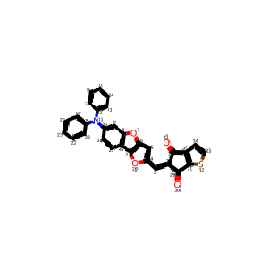 O=C1/C(=C\c2cc3oc4cc(N(c5ccccc5)c5ccccc5)ccc4c3o2)C(=O)c2sccc21